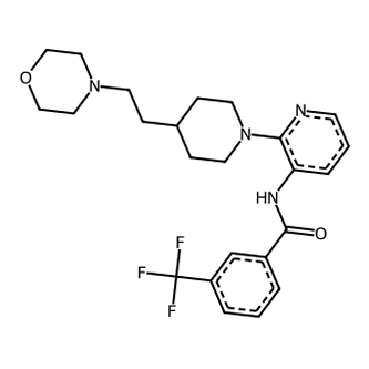 O=C(Nc1cccnc1N1CCC(CCN2CCOCC2)CC1)c1cccc(C(F)(F)F)c1